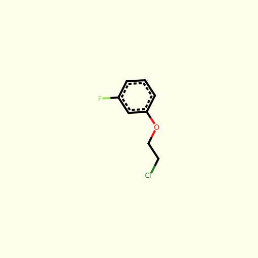 Fc1c[c]cc(OCCCl)c1